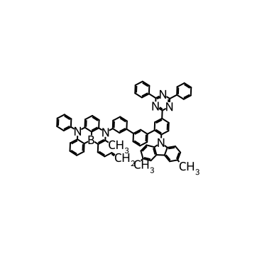 C=C/C=C\C1=C(C)N(c2cccc(-c3cccc(-c4cc(-c5nc(-c6ccccc6)nc(-c6ccccc6)n5)ccc4-n4c5ccc(C)cc5c5cc(C)ccc54)c3)c2)c2cccc3c2B1c1ccccc1N3c1ccccc1